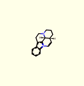 C1=Cn2c3c(c4ccccc42)CCN2CCC[C@H]1[C@H]32